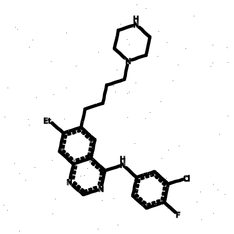 CCc1cc2ncnc(Nc3ccc(F)c(Cl)c3)c2cc1CCCCN1CCNCC1